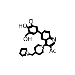 CC(=O)c1cnc2ccc(-c3cc(Cl)c(O)c(CO)c3)cc2c1N1CCC(CN2CCCC2)CC1